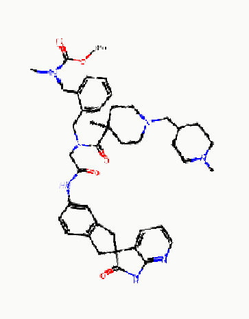 CN1CCC(CN2CCC(C)(C(=O)N(CC(=O)Nc3ccc4c(c3)CC3(C4)C(=O)Nc4ncccc43)Cc3ccccc3CN(C)C(=O)OC(C)(C)C)CC2)CC1